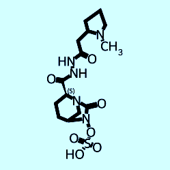 CN1CCCC1CC(=O)NNC(=O)[C@@H]1CCC2CN1C(=O)N2OS(=O)(=O)O